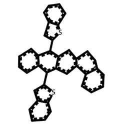 c1ccc2sc(-c3c4ccccc4c(-c4cc5ccccc5s4)c4cc5c(ccc6ccccc65)cc34)cc2c1